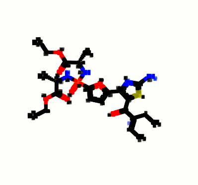 C/C=C(\CC)C(=O)c1sc(N)nc1-c1ccc(P(=O)(N[C@@H](C)C(=O)OCC)N[C@@H](C)C(=O)OCC)o1